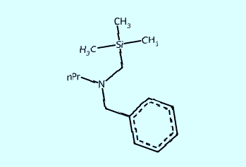 CCCN(Cc1ccccc1)C[Si](C)(C)C